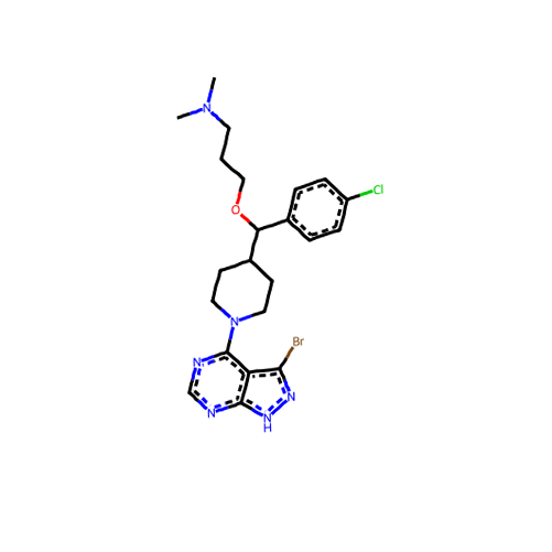 CN(C)CCCOC(c1ccc(Cl)cc1)C1CCN(c2ncnc3[nH]nc(Br)c23)CC1